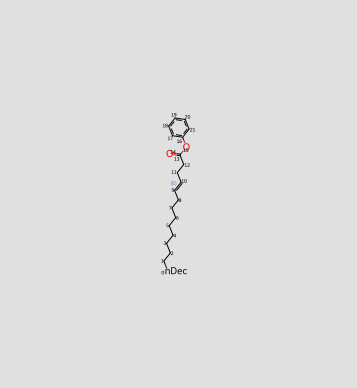 CCCCCCCCCCCCCCCCCC/C=C/CCC(=O)Oc1ccccc1